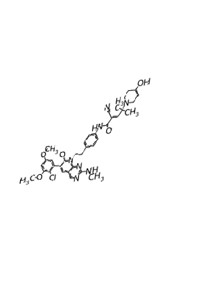 CNc1ncc2cc(-c3cc(OC)cc(OC)c3Cl)c(=O)n(CCc3ccc(NC(=O)C(C#N)=CC(C)(C)N4CCC(O)CC4)cc3)c2n1